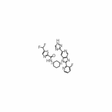 O=C(N[C@H]1CCC[C@@H](n2c(-c3ncccc3F)nc3cnc(-c4nc[nH]n4)cc32)C1)c1ncc(C(F)F)s1